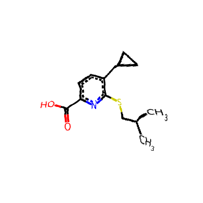 CC(C)CSc1nc(C(=O)O)ccc1C1CC1